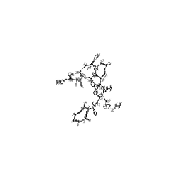 Cc1cccc(C)c1C(=O)OCC(=O)[C@H](CC(=O)O)NC(=O)[C@@H]1CCCN2C(=O)CCN(NC(=O)CO)C(=O)N12